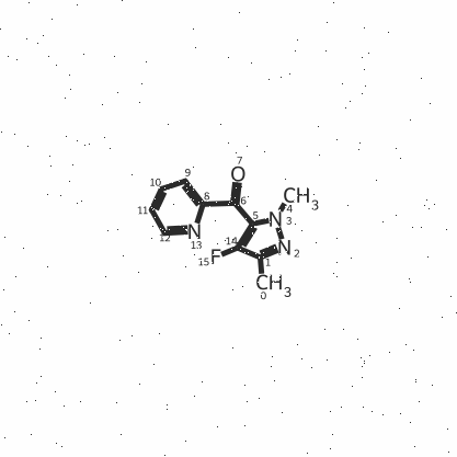 Cc1nn(C)c(C(=O)c2ccccn2)c1F